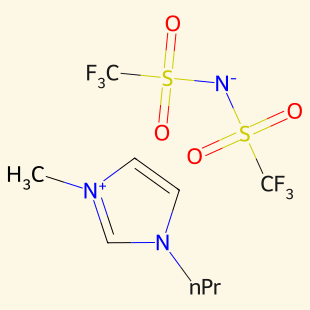 CCCn1cc[n+](C)c1.O=S(=O)([N-]S(=O)(=O)C(F)(F)F)C(F)(F)F